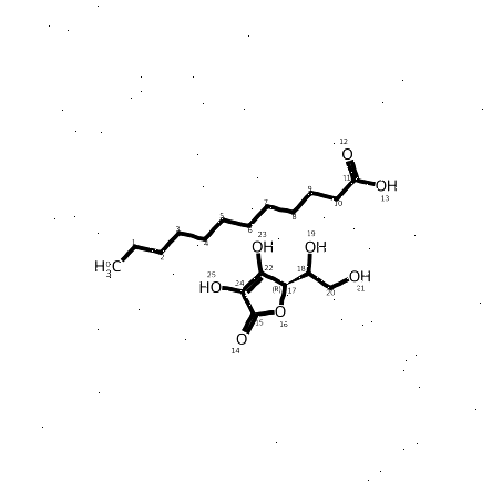 CCCCCCCCCCCC(=O)O.O=C1O[C@H](C(O)CO)C(O)=C1O